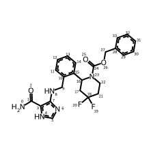 NC(=O)c1[nH]cnc1NCc1ccccc1C1CC(F)(F)CCN1C(=O)OCc1ccccc1